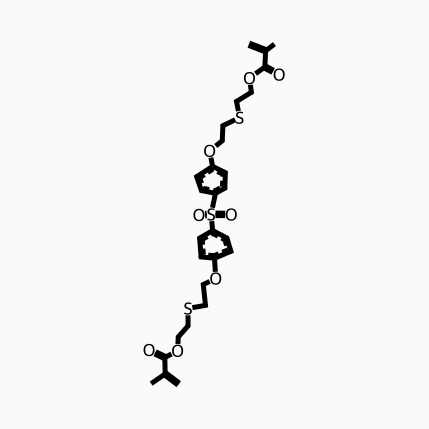 C=C(C)C(=O)OCCSCCOc1ccc(S(=O)(=O)c2ccc(OCCSCCOC(=O)C(=C)C)cc2)cc1